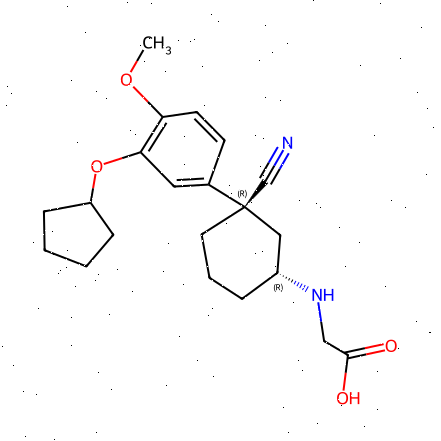 COc1ccc([C@@]2(C#N)CCC[C@@H](NCC(=O)O)C2)cc1OC1CCCC1